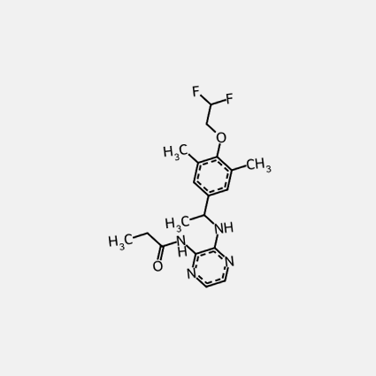 CCC(=O)Nc1nccnc1NC(C)c1cc(C)c(OCC(F)F)c(C)c1